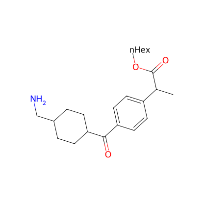 CCCCCCOC(=O)C(C)c1ccc(C(=O)C2CCC(CN)CC2)cc1